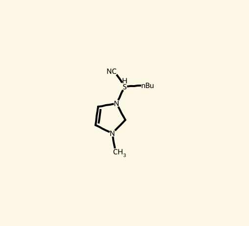 CCCC[SH](C#N)N1C=CN(C)C1